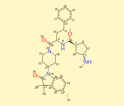 CN[C@@H]1CC[C@H](C(=O)NC(CCc2ccccc2)C(=O)N2CCC(N3C(=O)C(C)(C)c4cc(F)ccc43)CC2)C1